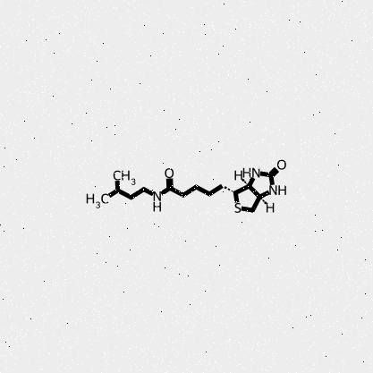 CC(C)CCNC(=O)CCCC[C@H]1SC[C@@H]2NC(=O)N[C@@H]21